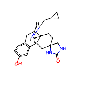 O=C1NC[C@@]2(CC[C@H]3[C@H]4Cc5ccc(O)cc5[C@@]3(CCN4CC3CC3)C2)N1